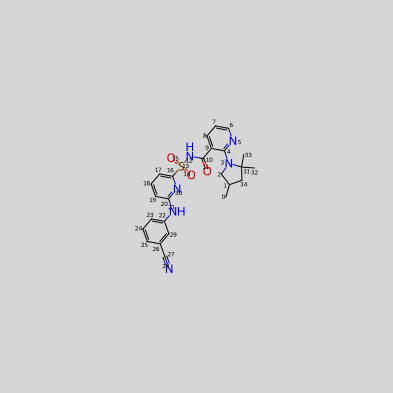 CC1CN(c2ncccc2C(=O)NS(=O)(=O)c2cccc(Nc3cccc(C#N)c3)n2)C(C)(C)C1